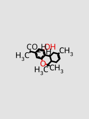 CC1=CCC2[C@@H](C1)c1c(O)cc([C@@H](C)C(=O)O)cc1OC2(C)C